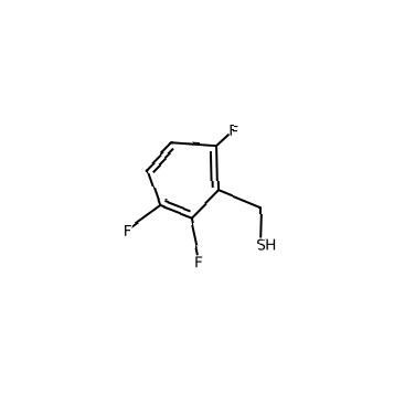 Fc1ccc(F)c(CS)c1F